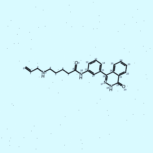 C=CCNCCCCC(=O)Nc1cccc(-c2n[nH]c(=O)c3ccccc23)c1